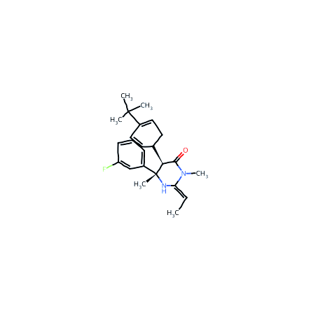 CC=C1N[C@](C)(c2cccc(F)c2)[C@@H](C2C=CC(C(C)(C)C)=CC2)C(=O)N1C